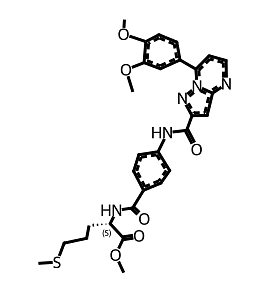 COC(=O)[C@H](CCCSC)NC(=O)c1ccc(NC(=O)c2cc3nccc(-c4ccc(OC)c(OC)c4)n3n2)cc1